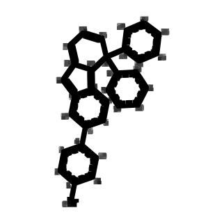 Brc1ccc(-c2ccc3c(c2)=CC2=CC=CC(c4ccccc4)(c4ccccc4)C=32)cc1